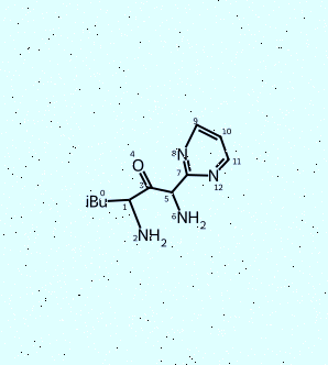 CCC(C)C(N)C(=O)C(N)c1ncccn1